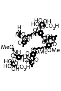 C=C1C[C@H]2C(O)N(C(=O)OCc3ccc(O[C@@H]4O[C@H](C(=O)O)[C@@H](O)[C@H](O)[C@H]4O)c(C(=O)NCCCNC(=O)[C@H](Cc4c[nH]cn4)N4C(=O)CC(C)C4=O)c3)c3cc(OCCCCCOc4cc5c(cc4OC)C(=O)N4CC(=C)C[C@H]4C(O)N5C(=O)OCc4ccc(O[C@@H]5O[C@H](C(=O)O)[C@@H](O)[C@H](O)[C@H]5O)c(C(=O)NCCOC)c4)c(OC)cc3C(=O)N2C1